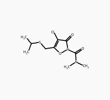 CC(C)SCc1on(C(=O)N(C)C)c(=O)c1Cl